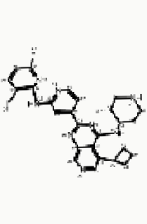 C[C@@H]1CNCCC1Nc1nc(-c2ccnc(Nc3nc(F)ccc3F)c2)nc2cncc(C3CCC3)c12